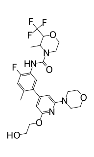 Cc1cc(F)c(NC(=O)N2CCOC(C(F)(F)F)C2C)cc1-c1cc(OCCO)nc(N2CCOCC2)c1